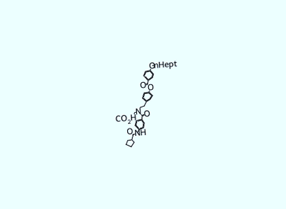 CCCCCCCOc1ccc(C(=O)Oc2ccc(CCN(CC(=O)O)C(=O)c3ccc(NC(=O)C4CCCC4)cc3)cc2)cc1